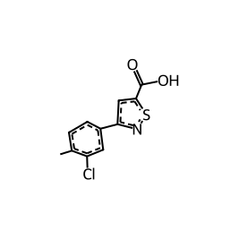 Cc1ccc(-c2cc(C(=O)O)sn2)cc1Cl